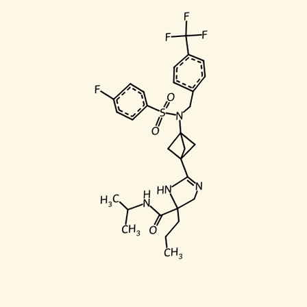 CCCC1(C(=O)NC(C)C)CN=C(C23CC(N(Cc4ccc(C(F)(F)F)cc4)S(=O)(=O)c4ccc(F)cc4)(C2)C3)N1